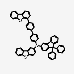 c1ccc(C2(c3ccccc3)c3ccccc3-c3cc(N(c4ccc(-c5ccc(-c6cccc7c6oc6ccccc67)cc5)cc4)c4ccc5sc6ccccc6c5c4)ccc32)cc1